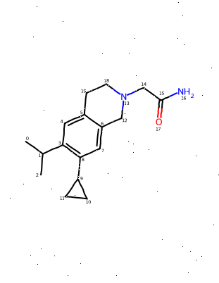 CC(C)c1cc2c(cc1C1CC1)CN(CC(N)=O)CC2